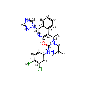 CC(C)CN(C(=O)Nc1ccc(F)c(Cl)c1)C(C)c1cnc(-n2cncn2)c2ccccc12